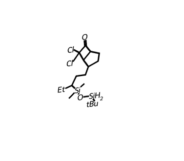 CCC(CCC1CCC2C(=O)C(Cl)(Cl)C12)[Si](C)(C)O[SiH2]C(C)(C)C